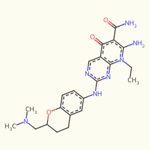 CCn1c(N)c(C(N)=O)c(=O)c2cnc(Nc3ccc4c(c3)CCC(CN(C)C)O4)nc21